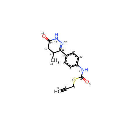 C#CCSC(=O)Nc1ccc(C2=NNC(=O)CC2C)cc1